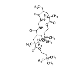 CCC(CC(C)(C)C(=O)OCC[N+](C)(C)C)C(=O)NCNC(=O)C(CC)CC(C)(C)C(=O)OCC[N+](C)(C)C